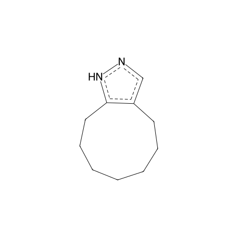 c1n[nH]c2c1CCCCCCC2